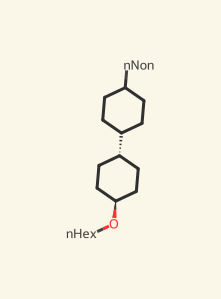 CCCCCCCCCC1CCC([C@H]2CC[C@H](OCCCCCC)CC2)CC1